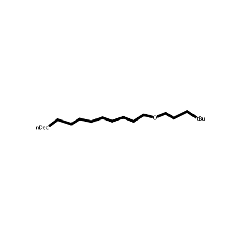 CCCCCCCCCCCCCCCCCCCOCCCC(C)(C)C